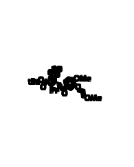 COCCCOc1cc(C(=O)N(C[C@@H]2CN(C(=O)OC(C)(C)C)C[C@H]2OS(C)(=O)=O)C(C)C)ccc1OC